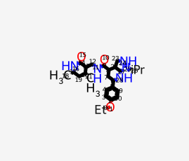 CCOc1ccc(C2CC(C(=O)NCC3C(=O)NC(C)CC3C)C3CNN(C(C)C)C3N2)cc1